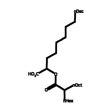 CCCCCCCCCCCCCCCCC(OC(=O)C(CCCCCC)CCCCCCCC)C(=O)O